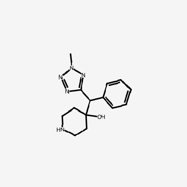 Cn1nnc(C(c2ccccc2)C2(O)CCNCC2)n1